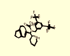 O=C(O)N(Cc1cc(C(F)(F)F)cc(C(F)(F)F)c1)C(c1ccc2c(c1)CCC2)C1CCCCN1